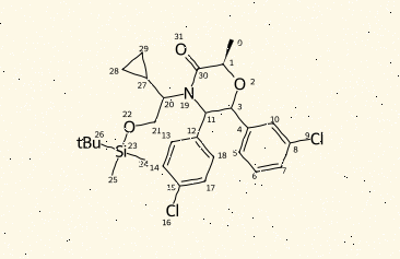 C[C@H]1OC(c2cccc(Cl)c2)C(c2ccc(Cl)cc2)N(C(CO[Si](C)(C)C(C)(C)C)C2CC2)C1=O